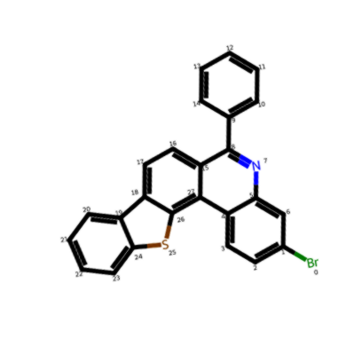 Brc1ccc2c(c1)nc(-c1ccccc1)c1ccc3c4ccccc4sc3c12